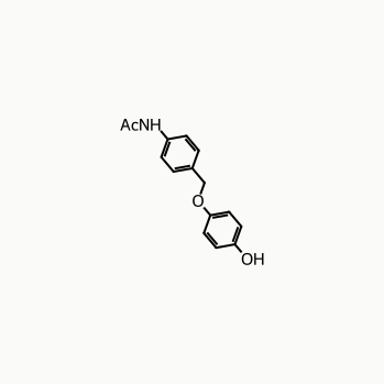 CC(=O)Nc1ccc(COc2ccc(O)cc2)cc1